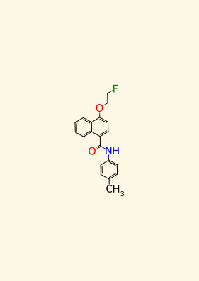 Cc1ccc(NC(=O)c2ccc(OCCF)c3ccccc23)cc1